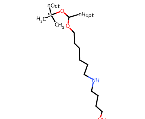 CCCCCCCC[Si](C)(C)OC(CCCCCCC)OCCCCCCNCCCCO